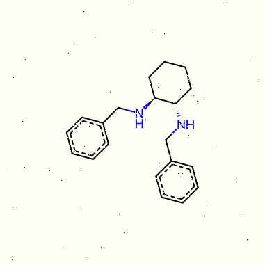 c1ccc(CN[C@H]2CCCC[C@@H]2NCc2ccccc2)cc1